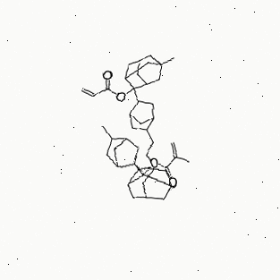 C=CC(=O)OC1(C2CC3CC2CC3CCC23CC4CC(C2)C(OC(=O)C(=C)C)(C2CC5CC2CC5C)C(C4)C3)C2CC3CC1CC(C)(C3)C2